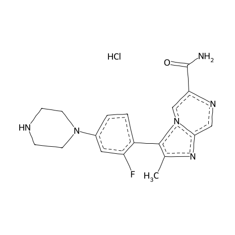 Cc1nc2cnc(C(N)=O)cn2c1-c1ccc(N2CCNCC2)cc1F.Cl